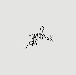 CCC(C)(C)C(=O)SCCOP(=O)(NCc1ccccc1)OCC1O[C@@H](n2ccc(N)nc2=O)[C@](C)(O)[C@@H]1O